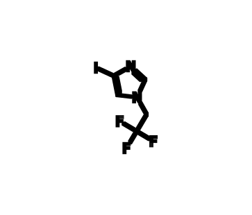 FC(F)(F)Cn1cnc(I)c1